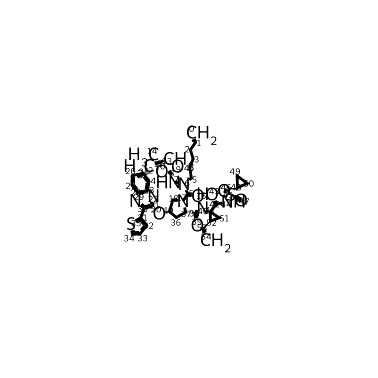 C=CCCCCN(NC(=O)OC(C)(C)C)C(=O)N1C[C@H](Oc2nc3ccccc3nc2-c2cccs2)C[C@H]1C(=O)N[C@]1(C(=O)NS(=O)(=O)C2CC2)C[C@H]1C=C